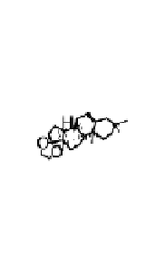 C[C@H]1CC[C@@]2(C)C(=CC[C@@H]3[C@]2(C)CC[C@]2(C)C4(CC[C@@]32C)OCCO4)C1